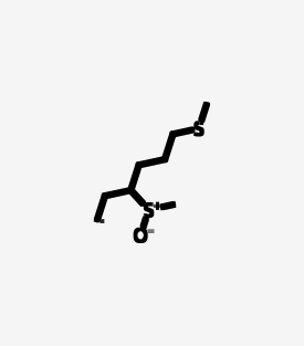 [CH2]CC(CCCSC)[S+](C)[O-]